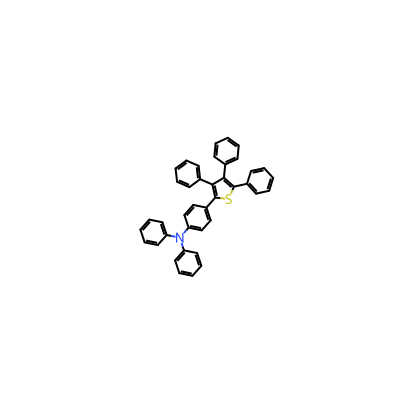 c1ccc(-c2sc(-c3ccc(N(c4ccccc4)c4ccccc4)cc3)c(-c3ccccc3)c2-c2ccccc2)cc1